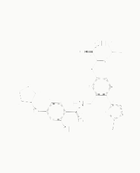 Cc1ccc(-c2ccc(CC(OC(C)C)C(=O)O)cc2CNC(=O)c2ccc(OC3CCCC3)cc2Cl)s1